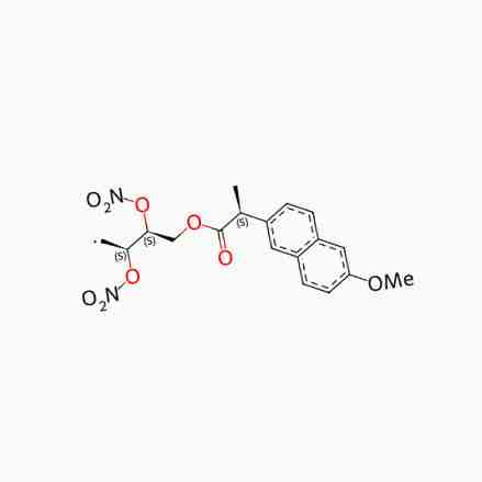 [CH2][C@H](O[N+](=O)[O-])[C@H](COC(=O)[C@@H](C)c1ccc2cc(OC)ccc2c1)O[N+](=O)[O-]